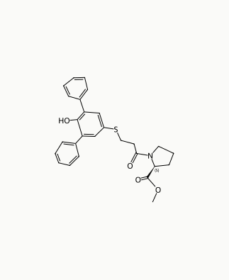 COC(=O)[C@@H]1CCCN1C(=O)CCSc1cc(-c2ccccc2)c(O)c(-c2ccccc2)c1